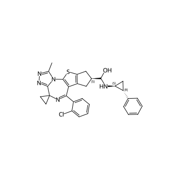 Cc1nnc2n1-c1sc3c(c1C(c1ccccc1Cl)=NC21CC1)C[C@H](C(O)N[C@H]1C[C@@H]1c1ccccc1)C3